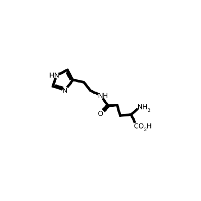 NC(CCC(=O)NCCc1c[nH]cn1)C(=O)O